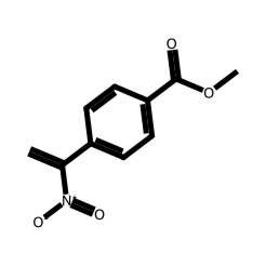 C=C(c1ccc(C(=O)OC)cc1)[N+](=O)[O-]